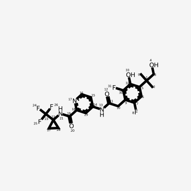 CC(C)(CO)c1cc(F)c(CC(=O)Nc2ccnc(C(=O)NC3(C(F)(F)F)CC3)c2)c(F)c1O